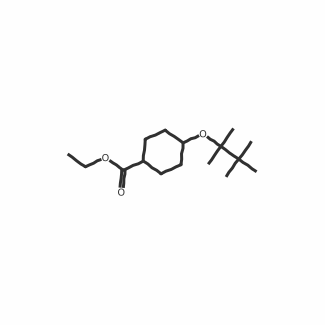 CCOC(=O)C1CCC(OC(C)(C)C(C)(C)C)CC1